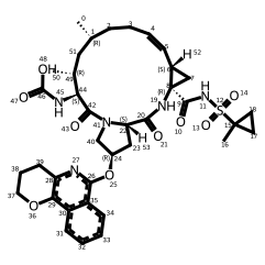 C[C@@H]1CCC=C[C@@H]2C[C@@]2(C(=O)NS(=O)(=O)C2(C)CC2)NC(=O)[C@@H]2C[C@@H](Oc3nc4c(c5ccccc35)OCCC4)CN2C(=O)[C@@H](NC(=O)O)[C@H](C)C1